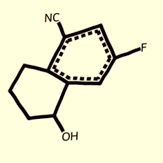 N#Cc1cc(F)cc2c1CCCC2O